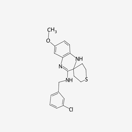 COc1ccc2c(c1)N=C(NCc1cccc(Cl)c1)C1(CCSCC1)N2